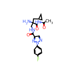 CC(=O)NC(=O)C(N)(CNC(=O)c1cnn(-c2ccc(F)cc2)n1)CC1CC1